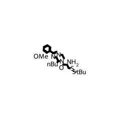 CCCCC1c2nc(-c3ccccc3OC)cn2CCN1C(=O)C(N)CSSC(C)(C)C